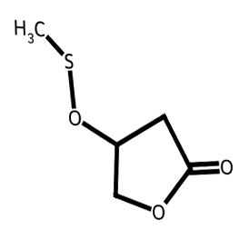 CSOC1COC(=O)C1